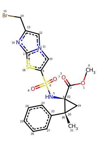 COC(=O)[C@]1(NS(=O)(=O)c2cn3cc(CBr)nc3s2)C[C@]1(C)c1ccccc1